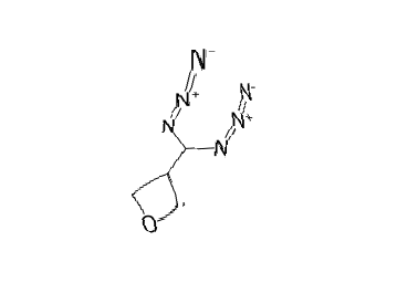 [N-]=[N+]=NC(N=[N+]=[N-])C1[CH]OC1